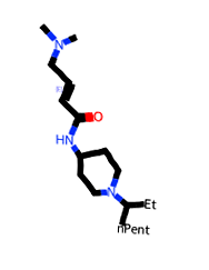 CCCCCC(CC)N1CCC(NC(=O)/C=C/CN(C)C)CC1